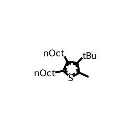 CCCCCCCCc1sc(C)c(C(C)(C)C)c1CCCCCCCC